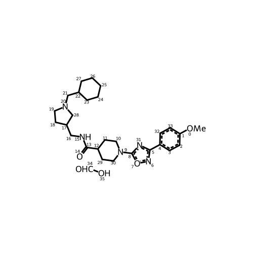 COc1ccc(-c2noc(N3CCC(C(=O)NCC4CCN(CC5CCCCC5)C4)CC3)n2)cc1.O=CO